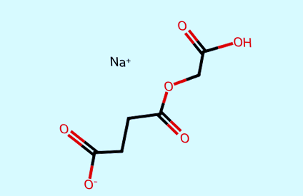 O=C([O-])CCC(=O)OCC(=O)O.[Na+]